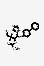 CNC(=O)OC(C(Oc1ccc(-c2ccccc2)cc1)n1cncn1)C(C)(C)CBr